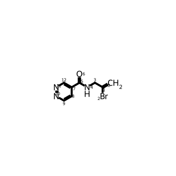 C=C(Br)CNC(=O)c1ccnnc1